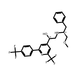 COC[C@H](Cc1ccccc1)NC[C@H](O)c1cc(-c2ccc(C(F)(F)F)cc2)nc(C(F)(F)F)c1